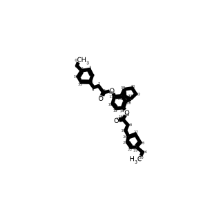 CCc1ccc(CCC(=O)Oc2ccc(OC(=O)CCc3ccc(CC)cc3)c3c2C2CCC3C2)cc1